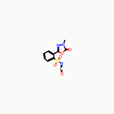 Cn1nc(-c2ccccc2S(=O)(=O)N=C=O)oc1=O